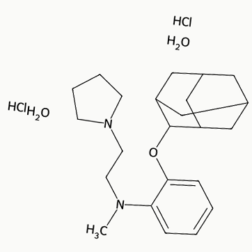 CN(CCN1CCCC1)c1ccccc1OC1C2CC3CC(C2)CC1C3.Cl.Cl.O.O